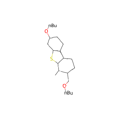 CCCCOCC1CCC2C3CCC(OCCCC)CC3SC2C1C